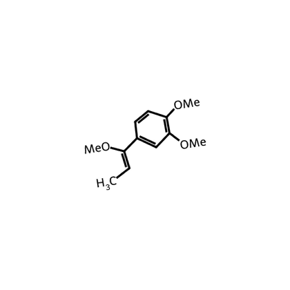 CC=C(OC)c1ccc(OC)c(OC)c1